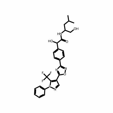 CC(C)CC(CO)NC(=O)C(O)c1ccc(-c2noc(-c3cnn(-c4ccccc4)c3C(F)(F)F)n2)cc1